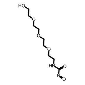 O=NC(=O)NCCOCCOCCOCCO